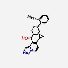 COc1ccccc1C1CCC(C(O)c2c(C3CC3)ccn3cncc23)CC1